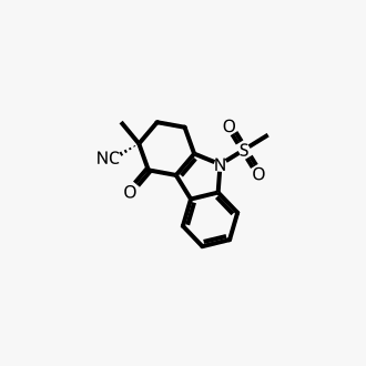 C[C@@]1(C#N)CCc2c(c3ccccc3n2S(C)(=O)=O)C1=O